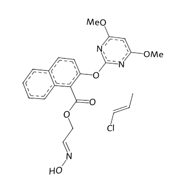 CC=CCl.COc1cc(OC)nc(Oc2ccc3ccccc3c2C(=O)OCC=NO)n1